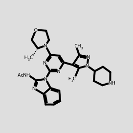 CC(=O)Nc1nc2ccccc2n1-c1nc(-c2c(C)nn(C3CCNCC3)c2C(F)(F)F)cc(N2CCOC[C@H]2C)n1